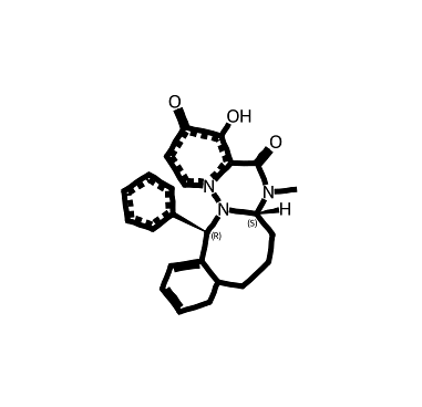 CN1C(=O)c2c(O)c(=O)ccn2N2[C@H](c3ccccc3)C3=CC=CCC3CCC[C@@H]12